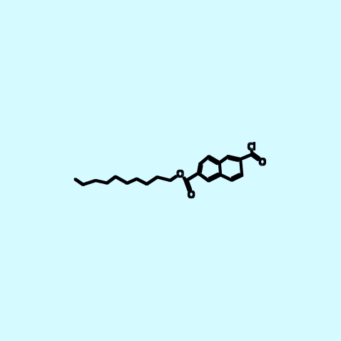 CCCCCCCCCCOC(=O)c1ccc2cc(C(=O)Cl)ccc2c1